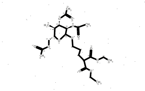 CCOC(=O)C(CCCOC1O[C@H](COC(C)=O)[C@@H](C)[C@H](OC(C)=O)[C@H]1OC(C)=O)C(=O)OCC